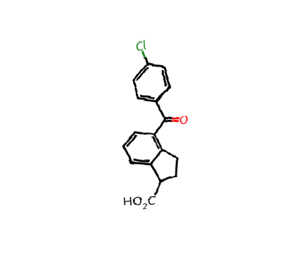 O=C(c1ccc(Cl)cc1)c1cccc2c1CCC2C(=O)O